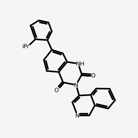 CC(C)c1ccccc1-c1ccc2c(=O)n(-c3cncc4ccccc34)c(=O)[nH]c2c1